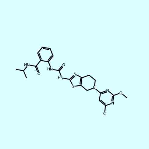 COc1nc(Cl)cc(N2CCc3nc(NC(=O)Nc4ccccc4C(=O)NC(C)C)sc3C2)n1